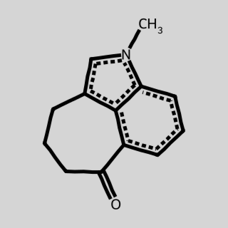 Cn1cc2c3c(cccc31)C(=O)CCC2